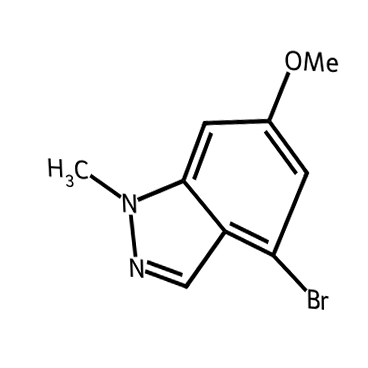 COc1cc(Br)c2cnn(C)c2c1